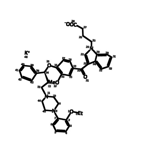 CCOc1ccccc1N1CCN(CC[C@H](Oc2ccc(C(=O)c3cn(CCCC(=O)[O-])c4ccccc34)cc2OC)c2ccccc2)CC1.[K+]